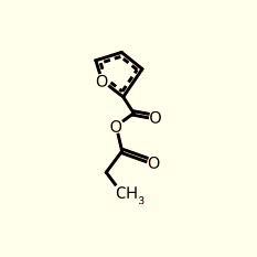 CCC(=O)OC(=O)c1ccco1